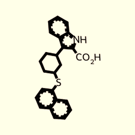 O=C(O)c1[nH]c2ccccc2c1C1CCCC(Sc2cccc3ccccc23)C1